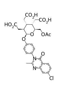 CC(=O)OC[C@H]1O[C@@H](Oc2ccc(-n3c(C)nc4cc(Cl)ccc4c3=O)cc2)[C@@H](CC(=O)O)[C@H](CC(=O)O)[C@@H]1CC(=O)O